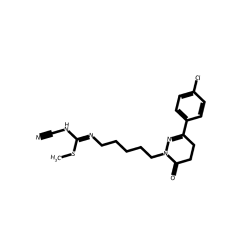 CSC(=NCCCCCN1N=C(c2ccc(Cl)cc2)CCC1=O)NC#N